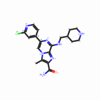 Cc1c(C(N)=O)nc2c(NCC3CCNCC3)nc(-c3ccnc(Cl)c3)cn12